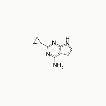 Nc1nc(C2CC2)nc2[nH]ccc12